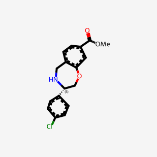 COC(=O)c1ccc2c(c1)OC[C@H](c1ccc(Cl)cc1)NC2